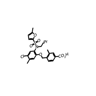 Cc1ccc(S(=O)(=O)N(CC(C)C)c2cc(Cl)c(C)cc2OCc2ccc(C(=O)O)cc2C)o1